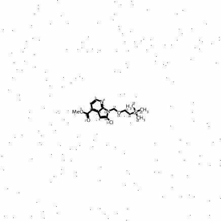 COC(=O)c1ccnc2c1cc(Cl)n2COCC[Si](C)(C)C